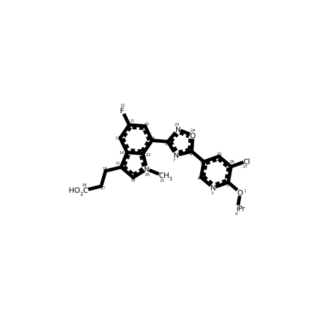 CC(C)Oc1ncc(-c2nc(-c3cc(F)cc4c(CCC(=O)O)cn(C)c34)no2)cc1Cl